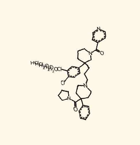 Cl.Cl.O.O.O.O=C(c1ccncc1)N1CCCC(CCCN2CCC(C(=O)N3CCCC3)(c3ccccc3)CC2)(c2ccc(Cl)c(Cl)c2)C1